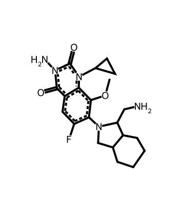 COc1c(N2CC3CCCCC3C2CN)c(F)cc2c(=O)n(N)c(=O)n(C3CC3)c12